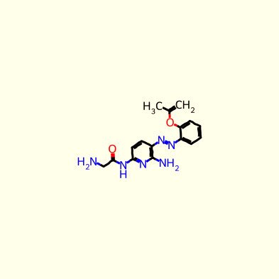 C=C(C)Oc1ccccc1/N=N/c1ccc(NC(=O)CN)nc1N